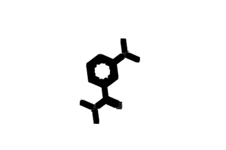 CN(C)C(=S)c1cccc(N(C)C)c1